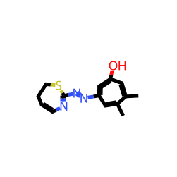 CC1=CC(O)=C=C(/N=N/C2=NC=CCCS2)C=C1C